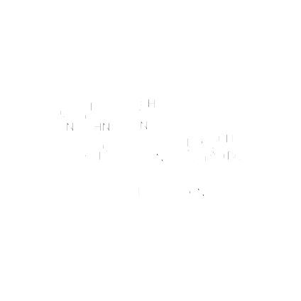 Cc1cc[n+]([O-])c(C)c1C(=O)NCC[C@@H](C)N1CCC(N(Cc2cc(C#N)ccc2F)c2ccc(O[Si](C)(C)C(C)(C)C)cc2)CC1